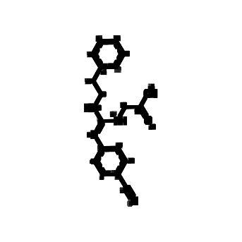 N#Cc1ccc(N=C(NCCc2ccccc2)NCC(=O)O)cc1